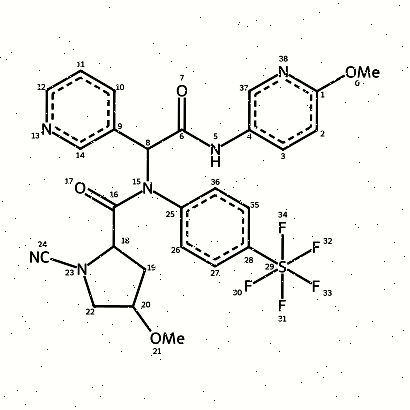 COc1ccc(NC(=O)C(c2cccnc2)N(C(=O)C2CC(OC)CN2C#N)c2ccc(S(F)(F)(F)(F)F)cc2)cn1